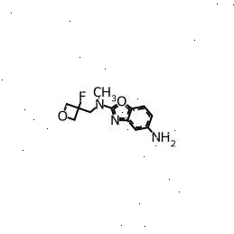 CN(CC1(F)COC1)c1nc2cc(N)ccc2o1